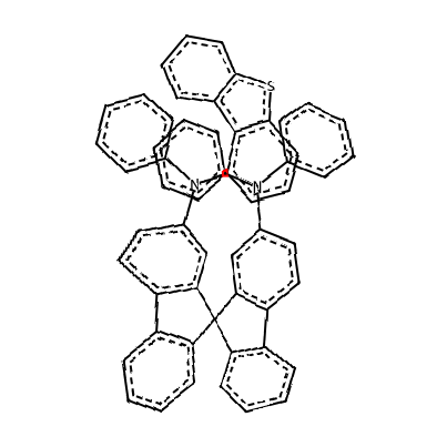 c1ccc(N(c2ccccc2)c2ccc3c(c2)C2(c4ccccc4-3)c3ccccc3-c3ccc(N(c4ccccc4)c4cccc5sc6ccccc6c45)cc32)cc1